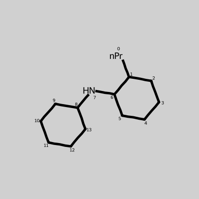 CCCC1CCCCC1NC1CCCCC1